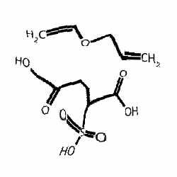 C=CCOC=C.O=C(O)CC(C(=O)O)S(=O)(=O)O